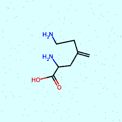 C=C(CCN)CC(N)C(=O)O